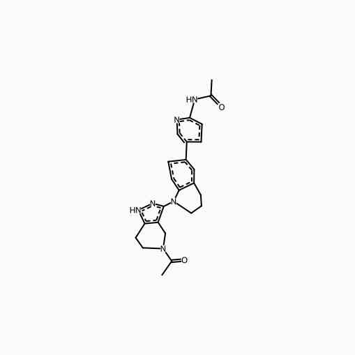 CC(=O)Nc1ccc(-c2ccc3c(c2)CCCN3c2n[nH]c3c2CN(C(C)=O)CC3)cn1